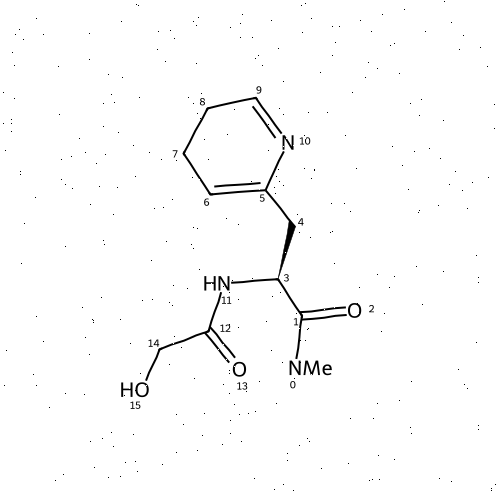 CNC(=O)[C@H](CC1=CCCC=N1)NC(=O)CO